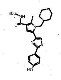 CCCCNC(=O)c1cc(-c2csc(-c3ccc(O)cc3)n2)n(CC2CCCCC2)c1C